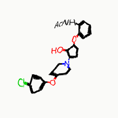 CC(=O)Nc1ccccc1OC1CC[C@H](N2CCC(Oc3ccc(Cl)cc3)CC2)C1O